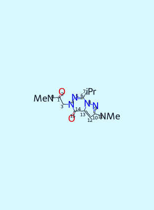 CNC(=O)Cn1nc(C(C)C)n2nc(NC)cc2c1=O